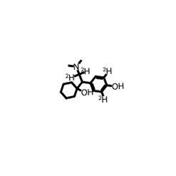 [2H]c1cc(C(C2(O)CCCCC2)C([2H])([2H])N(C)C)cc([2H])c1O